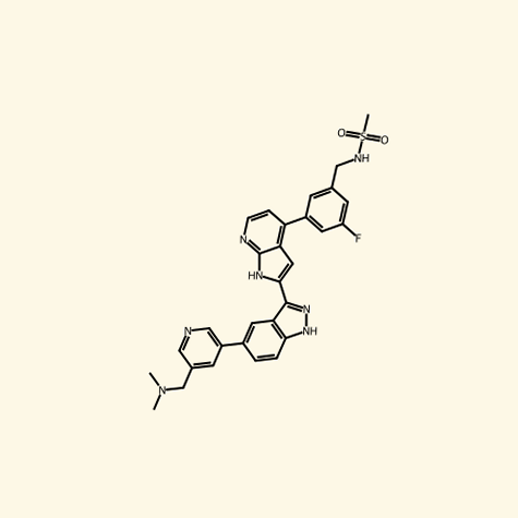 CN(C)Cc1cncc(-c2ccc3[nH]nc(-c4cc5c(-c6cc(F)cc(CNS(C)(=O)=O)c6)ccnc5[nH]4)c3c2)c1